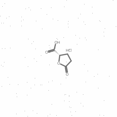 Cl.O=C1CC[C@@H](C(=O)O)O1